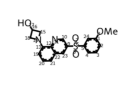 COc1cccc(S(=O)(=O)c2cnc3c(N4CC(O)C4)cccc3c2)c1